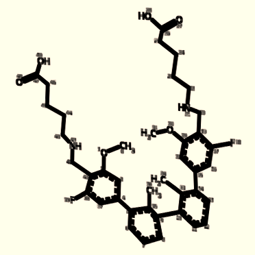 COc1cc(-c2cccc(-c3cccc(-c4cc(F)c(CNCCCCC(=O)O)c(OC)c4)c3C)c2C)cc(F)c1CNCCCCC(=O)O